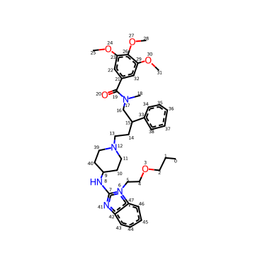 CCCOCCn1c(NC2CCN(CCC(CN(C)C(=O)c3cc(OC)c(OC)c(OC)c3)c3ccccc3)CC2)nc2ccccc21